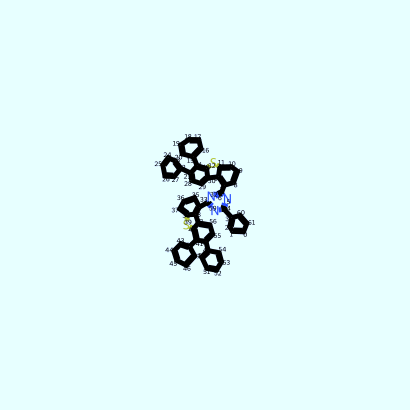 c1ccc(-c2nc(-c3cccc4sc5c(-c6ccccc6)c(-c6ccccc6)ccc5c34)nc(-c3cccc4sc5c(-c6ccccc6)c(-c6ccccc6)ccc5c34)n2)cc1